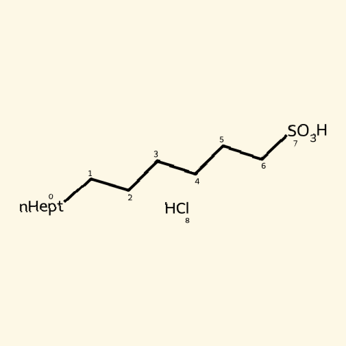 CCCCCCCCCCCCCS(=O)(=O)O.Cl